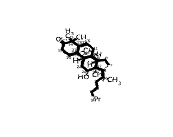 CC(C)CCC[C@@H](C)[C@H]1CC[C@H]2[C@@H]3CC=C4C(C)(C)C(=O)CC[C@]4(C)[C@H]3C[C@@H](O)[C@]12C